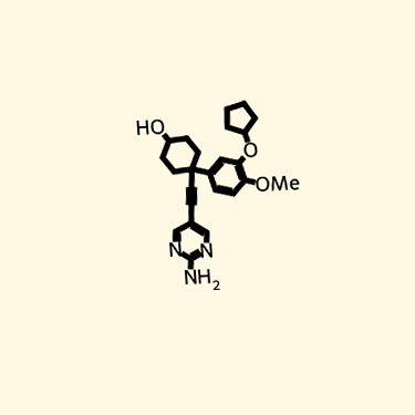 COc1ccc(C2(C#Cc3cnc(N)nc3)CCC(O)CC2)cc1OC1CCCC1